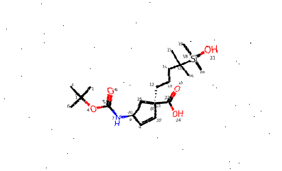 CC(C)(C)OC(=O)N[C@@H]1C=C[C@](CCCC(C)(C)[Si](C)(C)O)(C(=O)O)C1